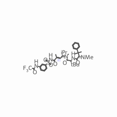 CN[C@H](C(=O)NC(C(=O)N(C)[C@H](/C=C(\C)C(=O)NS(=O)(=O)c1cccc(NC(=O)C(F)(F)F)c1)C(C)C)C(C)(C)C)C(C)(C)c1ccccc1